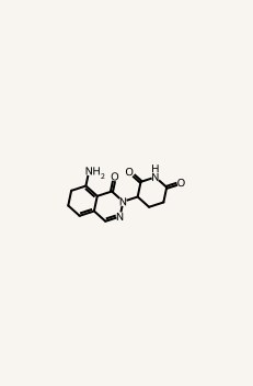 NC1=c2c(cnn(C3CCC(=O)NC3=O)c2=O)=CCC1